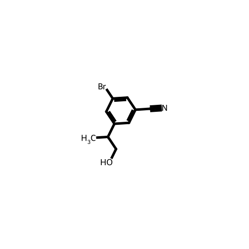 C[C](CO)c1cc(Br)cc(C#N)c1